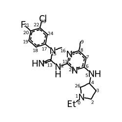 CCN1CCC(Nc2cc(C)nc(NC(=N)N(C)c3ccc(F)c(Cl)c3)n2)C1